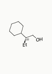 CC[C@H](CO)C1CCCCC1